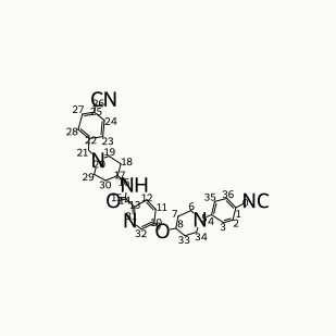 [C-]#[N+]c1ccc(N2CCC(Oc3ccc(C(=O)NC4CCN(Cc5ccc(C#N)cc5)CC4)nc3)CC2)cc1